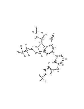 Cn1nc(C(C)(C)C)cc1Nc1nccc(-c2cc(C#N)c3c(c2)C(C)(CO[Si](C)(C)C(C)(C)C)CN3C(=O)OC(C)(C)C)n1